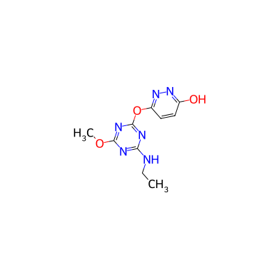 CCNc1nc(OC)nc(Oc2ccc(O)nn2)n1